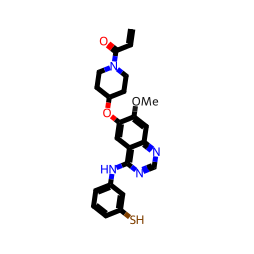 C=CC(=O)N1CCC(Oc2cc3c(Nc4cccc(S)c4)ncnc3cc2OC)CC1